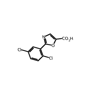 O=C(O)c1cnc(-c2cc(Cl)ccc2Cl)o1